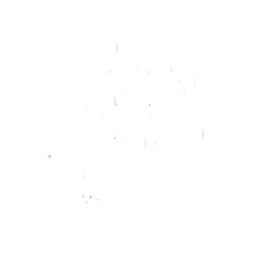 CCC(C)(C)C(C(=O)O)(C(=O)O)C(C)(C)C(C)=Cc1ccc(OC)cc1